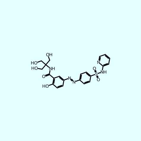 O=C(NC(CO)(CO)CO)c1cc(N=Nc2ccc(S(=O)(=O)Nc3ccccn3)cc2)ccc1O